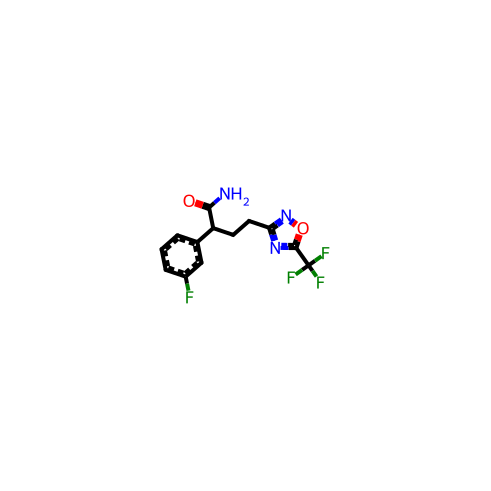 NC(=O)C(CCc1noc(C(F)(F)F)n1)c1cccc(F)c1